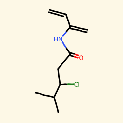 C=CC(=C)NC(=O)CC(Cl)C(C)C